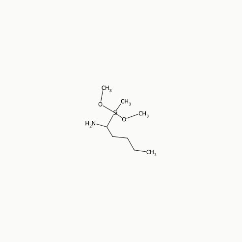 CCCCC(N)[Si](C)(OC)OC